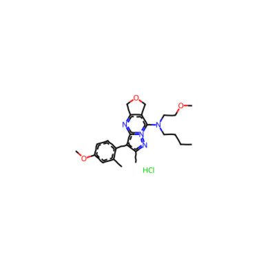 CCCCN(CCOC)c1c2c(nc3c(-c4ccc(OC)cc4C)c(C)nn13)COC2.Cl